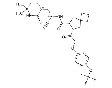 CC1(C)CC[C@@H](C[C@@H](C#N)NC(=O)C2CC3(CCC3)CN2C(=O)COc2ccc(OC(F)(F)F)cc2)C(=O)N1